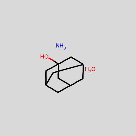 N.O.OC12CC3CC(CC(C3)C1)C2